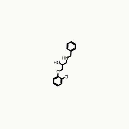 OC(CNCc1ccccc1)COc1cc[c]cc1Cl